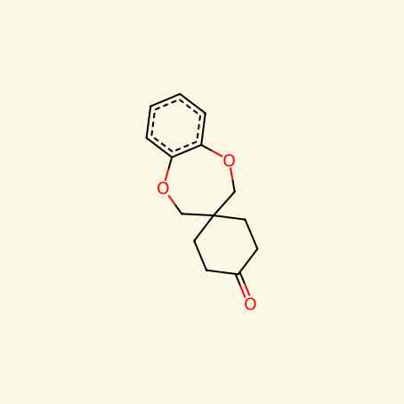 O=C1CCC2(CC1)COc1ccccc1OC2